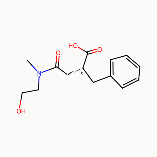 CN(CCO)C(=O)C[C@@H](Cc1ccccc1)C(=O)O